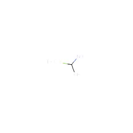 CC(N)F.Cl